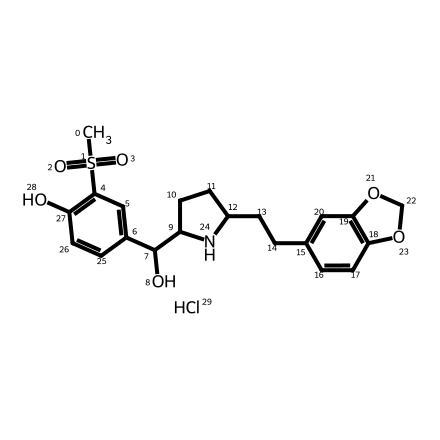 CS(=O)(=O)c1cc(C(O)C2CCC(CCc3ccc4c(c3)OCO4)N2)ccc1O.Cl